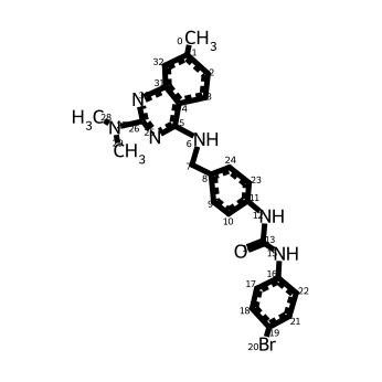 Cc1ccc2c(NCc3ccc(NC(=O)Nc4ccc(Br)cc4)cc3)nc(N(C)C)nc2c1